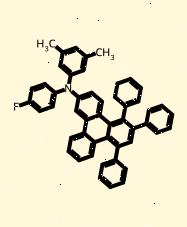 Cc1cc(C)cc(N(c2ccc(F)cc2)c2ccc3c(c2)c2ccccc2c2c(-c4ccccc4)cc(-c4ccccc4)c(C4=CC=CCC4)c32)c1